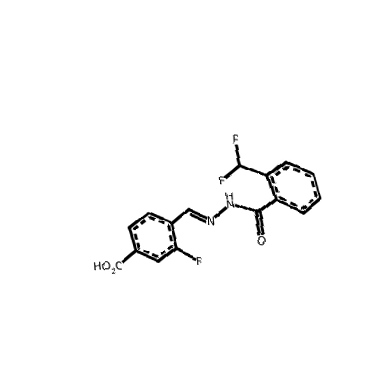 O=C(O)c1ccc(C=NNC(=O)c2ccccc2C(F)F)c(F)c1